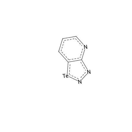 c1cnc2nn[te]c2c1